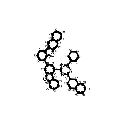 C1=CC(c2nc(-c3cc(-c4cccc5c4oc4cc6ccccc6cc45)cc4oc5ccccc5c34)nc(C3C=Cc4ccccc4C3)n2)=CCC1